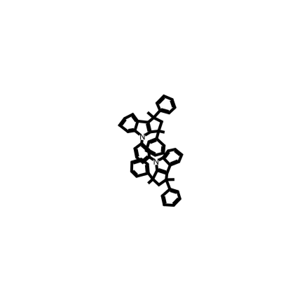 CC1(c2ccccc2)CC(C)(c2ccccc2)c2c1c1ccccc1n2-c1cccc(-n2c3c(c4ccccc42)C(C)(c2ccccc2)CC3(C)c2ccccc2)c1